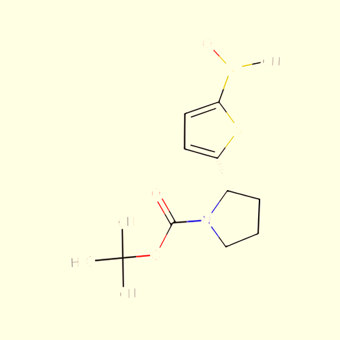 C[S+]([O-])c1ccc([C@@H]2CCCN2C(=O)OC(C)(C)C)s1